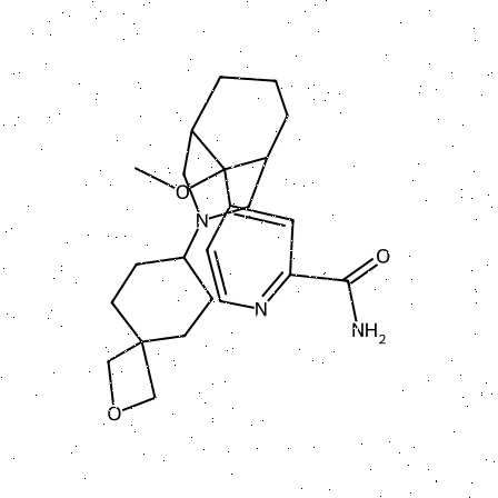 COC1(c2ccnc(C(N)=O)c2)C2CCCC1CN(C1CCC3(CC1)COC3)C2